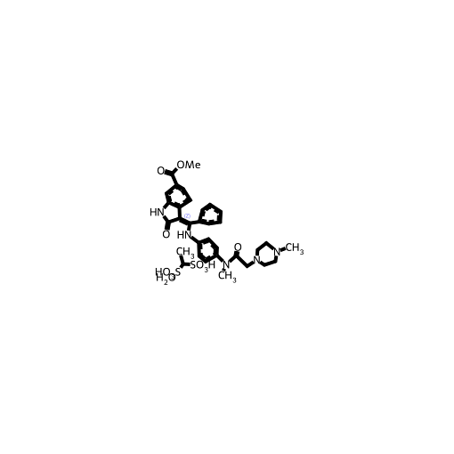 CC(S(=O)(=O)O)S(=O)(=O)O.COC(=O)c1ccc2c(c1)NC(=O)/C2=C(\Nc1ccc(N(C)C(=O)CN2CCN(C)CC2)cc1)c1ccccc1.O